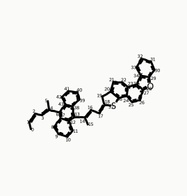 C/C=C\C=C(/C)c1c2ccccc2c(/C(C)=C/C=C2\Cc3ccc4c(ccc5oc6ccccc6c54)c3S2)c2ccccc12